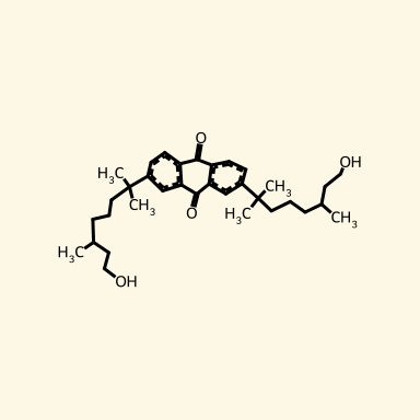 CC(CCO)CCCC(C)(C)c1ccc2c(c1)C(=O)c1cc(C(C)(C)CCCC(C)CCO)ccc1C2=O